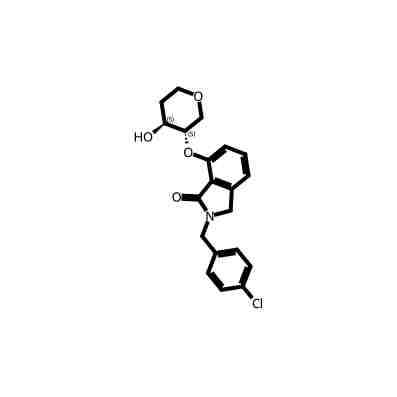 O=C1c2c(cccc2O[C@H]2COCC[C@@H]2O)CN1Cc1ccc(Cl)cc1